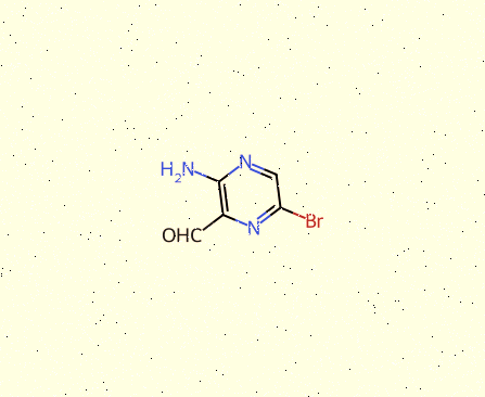 Nc1ncc(Br)nc1C=O